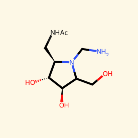 CC(=O)NC[C@@H]1[C@@H](O)[C@H](O)C(CO)N1CN